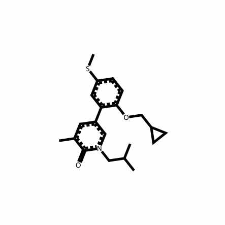 CSc1ccc(OCC2CC2)c(-c2cc(C)c(=O)n(CC(C)C)c2)c1